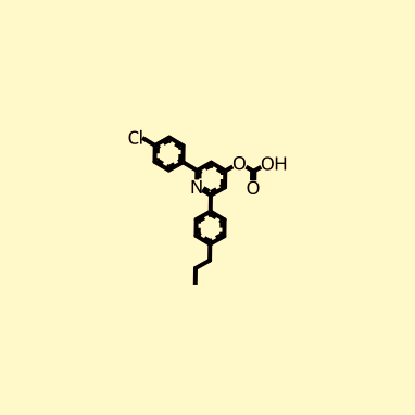 CCCc1ccc(-c2cc(OC(=O)O)cc(-c3ccc(Cl)cc3)n2)cc1